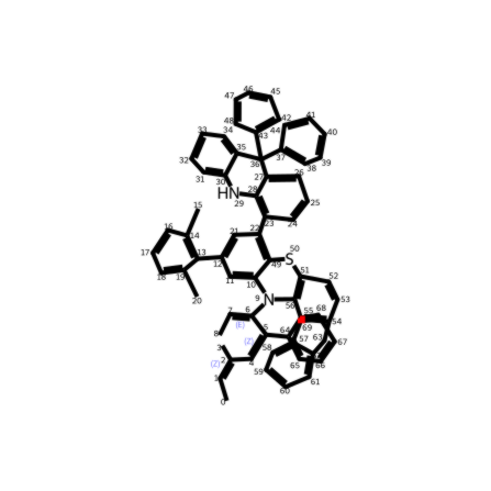 C\C=C(C)/C=C(\C(=C/C)N1c2cc(-c3c(C)cccc3C)cc(-c3cccc4c3Nc3ccccc3C4(c3ccccc3)c3ccccc3)c2Sc2ccc3c(c21)-c1ccccc1C3)c1ccccc1